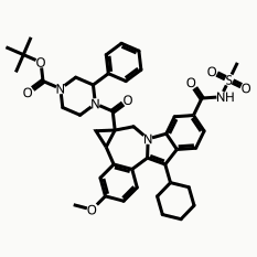 COc1ccc2c(c1)C1CC1(C(=O)N1CCN(C(=O)OC(C)(C)C)CC1c1ccccc1)Cn1c-2c(C2CCCCC2)c2ccc(C(=O)NS(C)(=O)=O)cc21